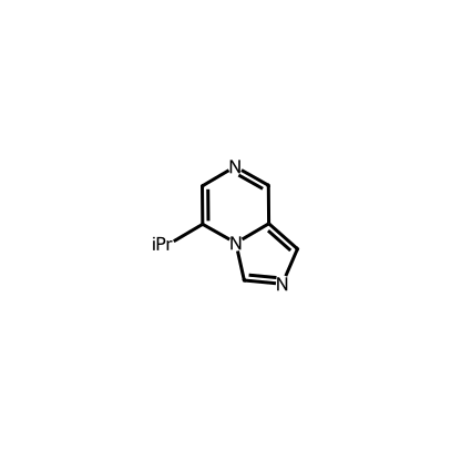 CC(C)c1cncc2cncn12